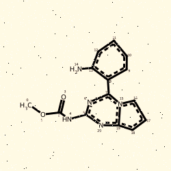 COC(=O)Nc1nc(-c2ccccc2N)n2cccc2n1